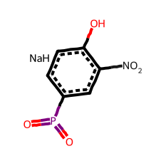 O=[N+]([O-])c1cc(P(=O)=O)ccc1O.[NaH]